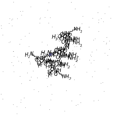 CC(C)(C)c1cc(NC(=O)CCCCN)c(SCCNC(=N)N)c(NC(=O)c2cc(C(=O)Nc3cc(C(C)(C)C/N=C(\N)NCCSc4c(NC(=O)CCCCN)cc(C(F)(F)F)cc4NC(=O)c4cc(C(=O)Nc5cc(C(F)(F)F)cc(NC(=O)CCCCN)c5SCCNC(=N)N)ncn4)cc(NC(=O)CCCCN)c3SCCNC(N)N)ncn2)c1